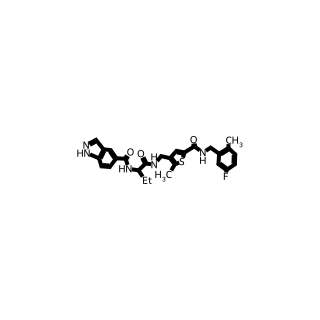 CCC(NC(=O)c1ccc2[nH]ncc2c1)C(=O)NCc1cc(C(=O)NCc2cc(F)ccc2C)sc1C